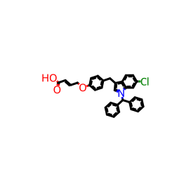 O=C(O)C=CCOc1ccc(Cc2cn(C(c3ccccc3)c3ccccc3)c3cc(Cl)ccc23)cc1